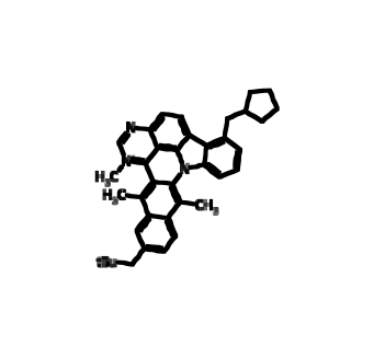 Cc1c2cc(CC(C)(C)C)ccc2c(C)c2c1c1c3c(ccc4c5c(CC6CCCC6)cccc5n2c43)nc[n+]1C